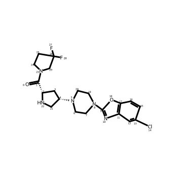 O=C([C@@H]1C[C@H](N2CCN(c3nc4cc(Cl)ccc4o3)CC2)CN1)N1CCC(F)(F)C1